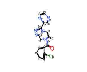 O=C(c1ccccc1Cl)N1CCn2c(nnc2-c2cnccn2)C1